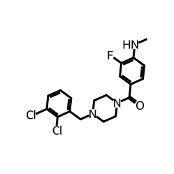 CNc1ccc(C(=O)N2CCN(Cc3cccc(Cl)c3Cl)CC2)cc1F